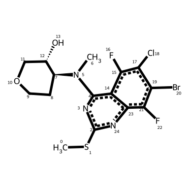 CSc1nc(N(C)[C@H]2CCOC[C@@H]2O)c2c(F)c(Cl)c(Br)c(F)c2n1